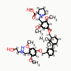 COc1cc(OCc2cccc(C3=CC=CC(COc4cc(OC)c(CN5CCCC[C@H]5C(=O)O)c(OC)c4)C3(C)C)c2)cc(OC)c1CNCCO